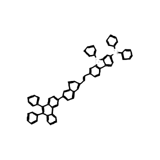 C(=C\c1ccc2c3ccc(N(c4ccccc4)c4ccccc4)cc3n(-c3ccccc3)c2c1)/c1ccc2cc(-c3ccc4c(-c5ccccc5)c(-c5ccccc5)c5ccccc5c4c3)ccc2c1